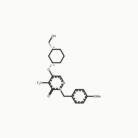 COc1ccc(Cn2ncc(O[C@H]3CCC[C@@H](CO)C3)c(C(F)(F)F)c2=O)cc1